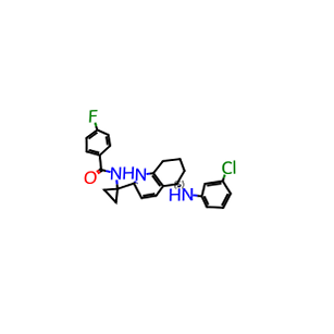 O=C(NC1(c2ccc3c(n2)CCC[C@@H]3Nc2cccc(Cl)c2)CC1)c1ccc(F)cc1